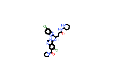 O=C(CCC(Nc1ncnc2cc(C(=O)N3CCCC3)c(Cl)cc12)c1nc2cc(Cl)ccc2[nH]1)NC1CCCCN1